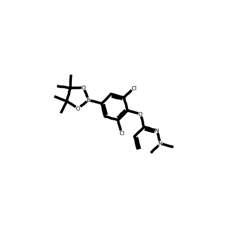 C=C/C(=N\N(C)C)Oc1c(Cl)cc(B2OC(C)(C)C(C)(C)O2)cc1Cl